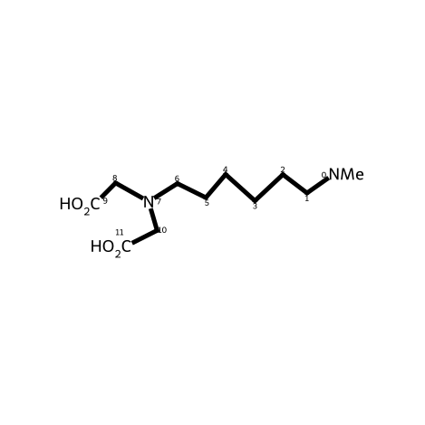 CNCCCCCCN(CC(=O)O)CC(=O)O